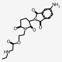 CCNCC(=O)OCCN1C(=O)CCC(N2C(=O)c3ccc(N)cc3C2=O)C1=O